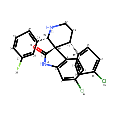 O=C1Nc2cc(Cl)ccc2[C@]12[C@@H](c1ccc(Cl)cc1)CCN[C@H]2c1cccc(F)c1